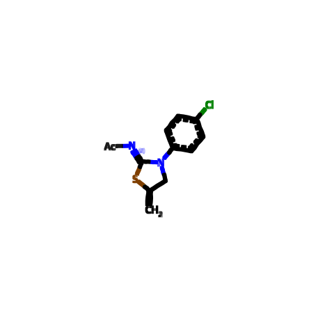 C=C1CN(c2ccc(Cl)cc2)/C(=N/C(C)=O)S1